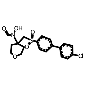 O=CN(O)C1(CS(=O)(=O)c2ccc(-c3ccc(Cl)cc3)cc2)CCOCC1